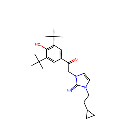 CC(C)(C)c1cc(C(=O)Cn2ccn(CCC3CC3)c2=N)cc(C(C)(C)C)c1O